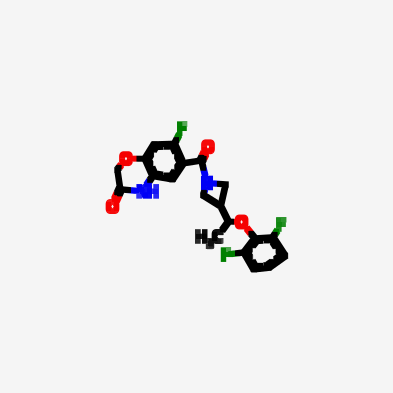 CC(Oc1c(F)cccc1F)C1CN(C(=O)c2cc3c(cc2F)OCC(=O)N3)C1